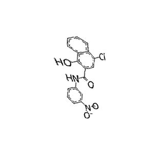 O=C(Nc1cccc([N+](=O)[O-])c1)c1cc(Cl)c2ccccc2c1O